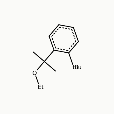 CCOC(C)(C)c1ccccc1C(C)(C)C